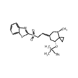 C[C@@H]1C/C(=C/CS(=O)(=O)c2nc3ccccc3s2)C[C@@H](O[Si](C)(C)C(C)(C)C)C12CC2